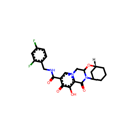 O=C(NCc1ccc(F)cc1F)c1cn2c(c(O)c1=O)C(=O)N1C3CCC[C@H](C3)OC1C2